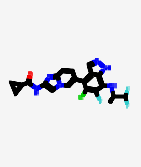 CC(Nc1c(F)c(Cl)c(-c2ccc3nc(NC(=O)C4CC4)cn3c2)c2cn[nH]c12)C(F)F